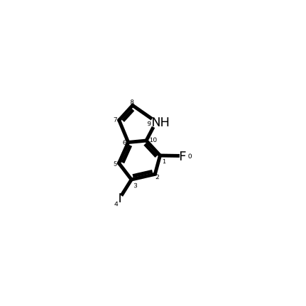 Fc1cc(I)cc2cc[nH]c12